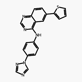 c1csc(-c2ccc3ncnc(Nc4ccc(-n5cncn5)cc4)c3c2)c1